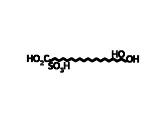 O=C(O)C(CCCCCCCCCCCCCCCCC(O)CO)S(=O)(=O)O